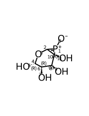 [O-][P+]1=C2O[C@@H](O)[C@H](O)[C@H](O)[C@]21O